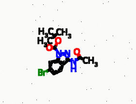 CC(=O)Nc1nn(C(=O)OC(C)(C)C)c2cc(Br)ccc12